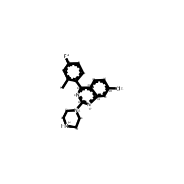 Cc1cc(F)ccc1-c1nc(N2CCNCC2)nc2cc(Cl)ccc12